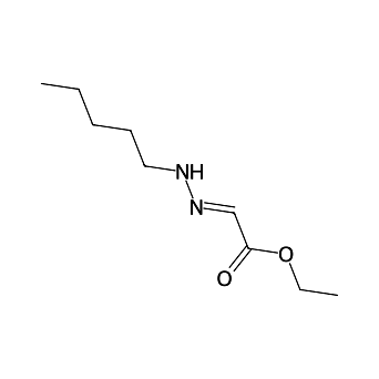 CCCCCNN=CC(=O)OCC